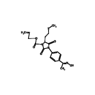 C=CCOC(=O)N1C(=O)N(c2ccc(C(C)=NO)cc2)C(=O)C1CCSC